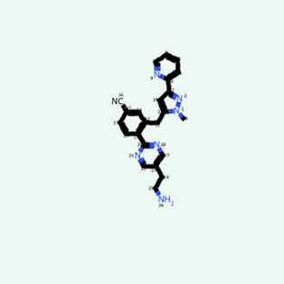 Cn1nc(-c2ccccn2)cc1Cc1cc(C#N)ccc1-c1ncc(CCN)cn1